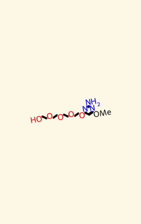 COc1cc(OCCOCCOCCOCCO)nc(N)n1